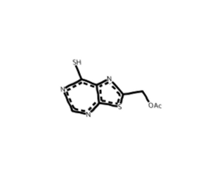 CC(=O)OCc1nc2c(S)ncnc2s1